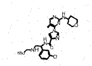 Cc1cnc(NC2CCOCC2)nc1-n1cnc(C(=O)NC(CNCC(C)(C)C)c2cccc(Cl)c2)c1